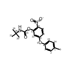 Cc1ccc(Oc2ccc([N+](=O)[O-])c(OC(=O)NC(C)(C)C)c2)cc1